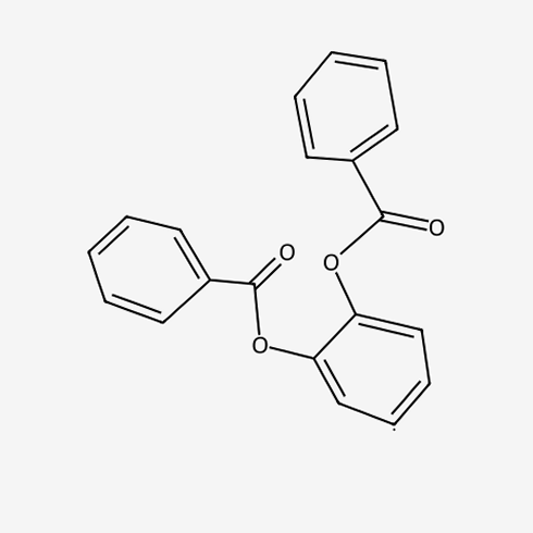 O=C(Oc1c[c]ccc1OC(=O)c1ccccc1)c1ccccc1